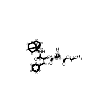 CCOC(=O)[C@H]1N[C@@H]1C(=O)N[C@@H](Cc1ccccc1)C(=O)NC12CC3CC(CC(C3)C1)C2